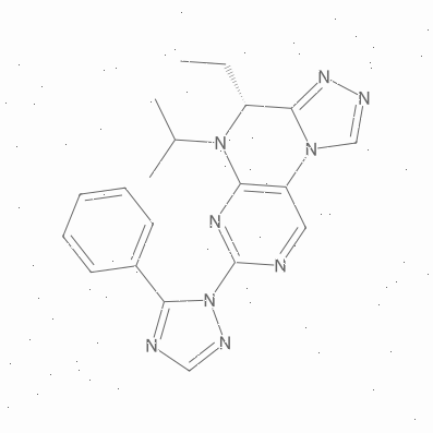 CC[C@@H]1c2nncn2-c2cnc(-n3ncnc3-c3ccccc3)nc2N1C(C)C